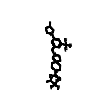 CC1CCN(c2cc(CN3CCC4(CCN(C(=O)OC(C)C(F)(F)F)CC4)C3)cc(C(F)(F)F)c2)C1